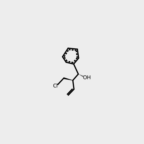 C=C[C@@H](CCl)[C@@H](O)c1ccccc1